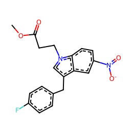 COC(=O)CCn1cc(Cc2ccc(F)cc2)c2cc([N+](=O)[O-])ccc21